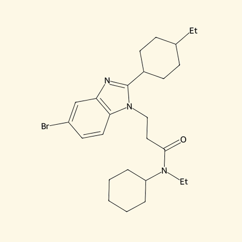 CCC1CCC(c2nc3cc(Br)ccc3n2CCC(=O)N(CC)C2CCCCC2)CC1